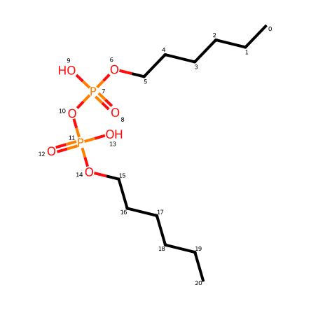 CCCCCCOP(=O)(O)OP(=O)(O)OCCCCCC